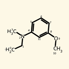 [CH2]CN(C)c1cccc(OC)c1